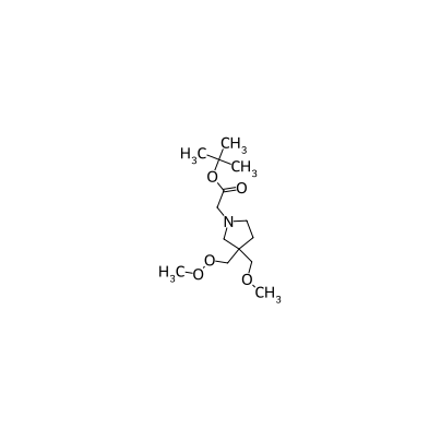 COCC1(COOC)CCN(CC(=O)OC(C)(C)C)C1